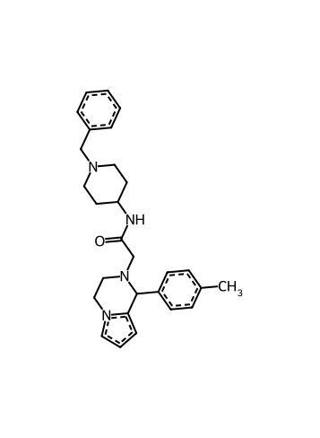 Cc1ccc(C2c3cccn3CCN2CC(=O)NC2CCN(Cc3ccccc3)CC2)cc1